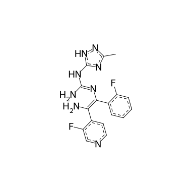 Cc1n[nH]c(N/C(N)=N/C(=C(\N)c2ccncc2F)c2ccccc2F)n1